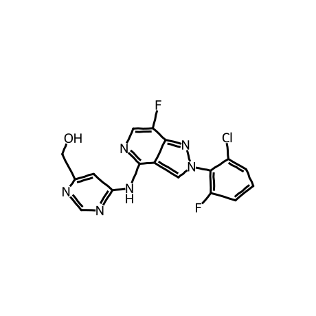 OCc1cc(Nc2ncc(F)c3nn(-c4c(F)cccc4Cl)cc23)ncn1